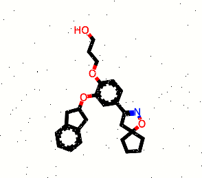 OCCCOc1ccc(C2=NOC3(CCCC3)C2)cc1OC1Cc2ccccc2C1